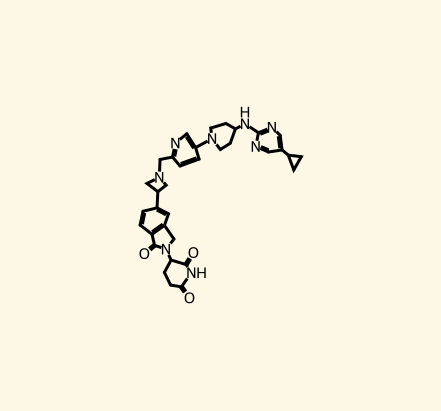 O=C1CCC(N2Cc3cc(C4CN(Cc5ccc(N6CCC(Nc7ncc(C8CC8)cn7)CC6)cn5)C4)ccc3C2=O)C(=O)N1